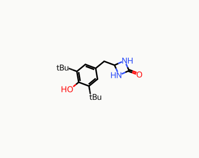 CC(C)(C)c1cc(CC2NC(=O)N2)cc(C(C)(C)C)c1O